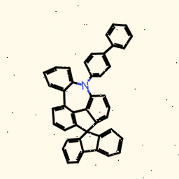 c1ccc(-c2ccc(N3c4ccccc4-c4cccc5c4-c4c3cccc4C53c4ccccc4-c4ccccc43)cc2)cc1